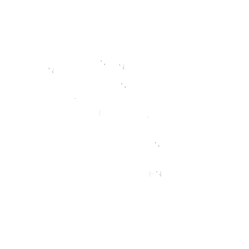 O=c1[nH]c(=O)n(C2CC(O)C(Cn3cc(C4CN5CCC4CC5)nn3)O2)cc1F